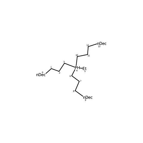 CCCCCCCCCCCCC[PH](CC)(CCCCCCCCCCCCC)CCCCCCCCCCCCC